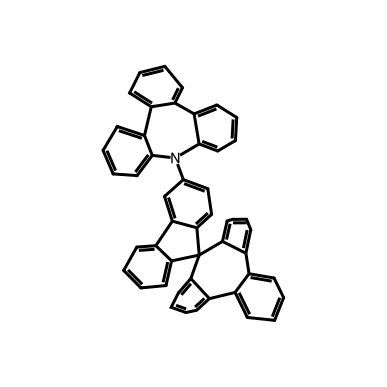 c1ccc2c(c1)-c1ccccc1N(c1ccc3c(c1)-c1ccccc1C31c3ccccc3-c3ccccc3-c3ccccc31)c1ccccc1-2